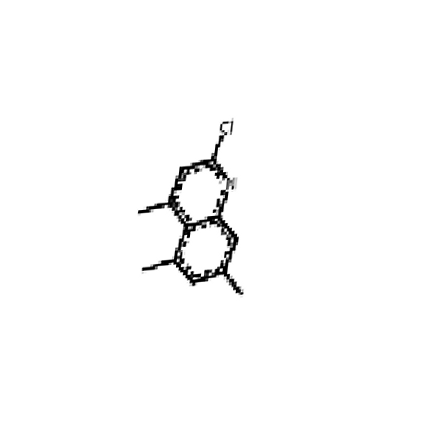 Cc1cc(C)c2c(C)cc(Cl)nc2c1